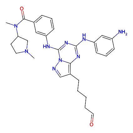 CN1CCC(N(C)C(=O)c2cccc(Nc3nc(Nc4cccc(N)c4)nc4c(CCCCC=O)cnn34)c2)C1